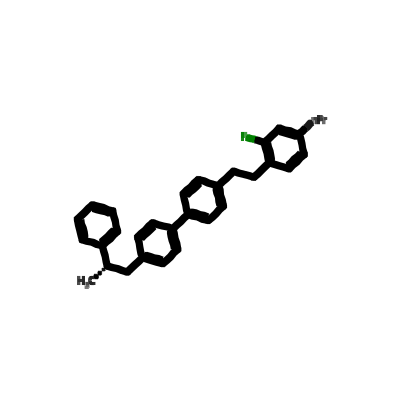 CCCc1ccc(CCc2ccc(-c3ccc(C[C@H](C)c4ccccc4)cc3)cc2)c(F)c1